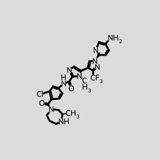 C[C@@H]1CN(C(=O)c2ccc(NC(=O)c3ncc(-c4cn(-c5ccc(N)cn5)nc4C(F)(F)F)n3C)cc2Cl)CCCN1